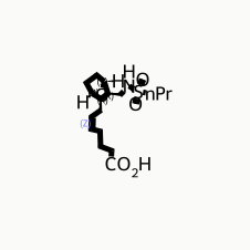 CCCS(=O)(=O)NC[C@H]1[C@@H](C/C=C\CCCC(=O)O)[C@H]2CC[C@@H]1O2